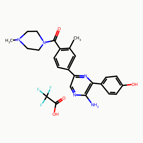 Cc1cc(-c2cnc(N)c(-c3ccc(O)cc3)n2)ccc1C(=O)N1CCN(C)CC1.O=C(O)C(F)(F)F